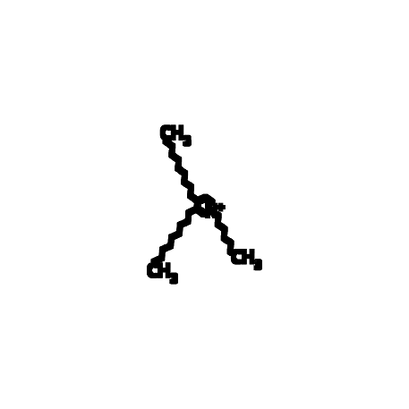 CCCCCCCCCCc1cc[n+](CCCCCCC)cc1CCCCCCCCCC